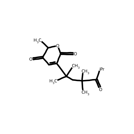 CC(C)C(=O)C(C)(C)CC(C)(C)C1=CC(=O)C(C)OC1=O